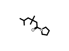 CC(C)CC(C)(C)CC(=O)N1CCCC1